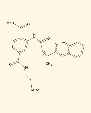 COC(=O)c1ccc(C(=O)NCCNC(C)=O)cc1NC(=O)/C=C(/C)c1ccc2ccccc2c1